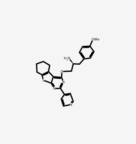 COc1ccc(C[C@H](N)COc2nc(-c3ccncc3)nc3sc4c(c23)CCCC4)cc1